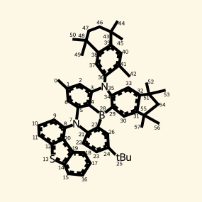 Cc1cc2c3c(c1)N(c1cccc4sc5ccccc5c14)c1ccc(C(C)(C)C)cc1B3c1cc3c(cc1N2c1cc2c(cc1C)C(C)(C)CCC2(C)C)C(C)(C)CC3(C)C